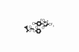 CC(OC(=O)COc1ccccc1Oc1cc(-n2c(=O)cc(C(F)(F)F)n(C)c2=O)c(F)cc1Cl)C1CC1